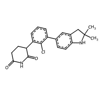 CC1(C)Cc2cc(-c3cccc(C4CCC(=O)NC4=O)c3Cl)ccc2N1